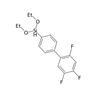 CCO[SiH](OCC)c1ccc(-c2cc(F)c(F)cc2F)cc1